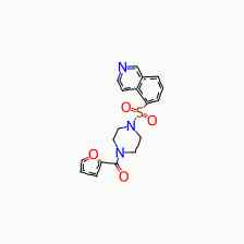 O=C(c1ccco1)N1CCN(S(=O)(=O)c2cccc3cnccc23)CC1